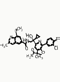 COc1cc(C(=O)NCC(O)(c2cc3c(c(-c4ccc(F)c(Cl)c4)n2)OC[C@]3(C)C(N)=O)C2CC2)cc2cc(C)cnc12